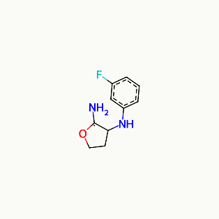 N[C]1OCCC1Nc1cccc(F)c1